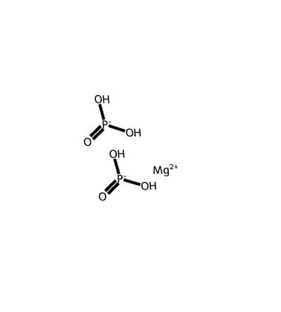 O=[P-](O)O.O=[P-](O)O.[Mg+2]